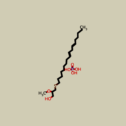 CCCCC/C=C/C/C=C/CCCCCCCCSCC(CO)OC.O=P(O)(O)O